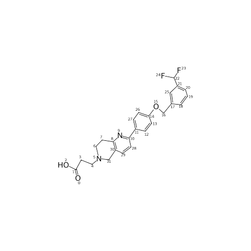 O=C(O)CCN1CCc2nc(-c3ccc(OCc4cccc(C(F)F)c4)cc3)ccc2C1